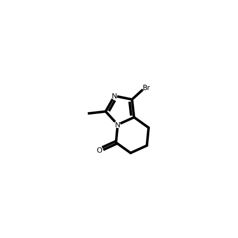 Cc1nc(Br)c2n1C(=O)CCC2